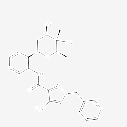 C[C@H]1O[C@@H](c2ccncc2NC(=O)c2nn(Cc3ccccc3)cc2[N+](=O)[O-])C[C@@H](O)[C@]1(C)O